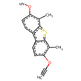 C#COc1ccc2c(sc3c(C)c(OCCC)ccc32)c1C